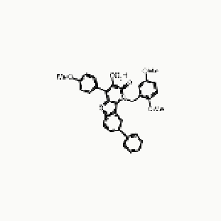 COc1ccc(-c2c(C(=O)O)c(=O)n(Cc3cc(OC)ccc3OC)c3c2oc2ccc(-c4ccccc4)cc23)cc1